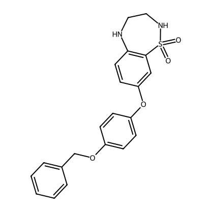 O=S1(=O)NCCNc2ccc(Oc3ccc(OCc4ccccc4)cc3)cc21